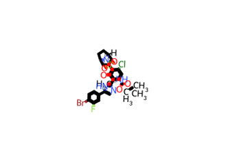 C[C@H](NC(=O)OC(C)(C)C)C(=O)CC1CC2CC[C@H](C1)N2S(=O)(=O)c1cc(-c2ncc(-c3ccc(Br)c(F)c3)[nH]2)ccc1Cl